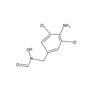 Nc1c(Cl)cc(CN(O)C=O)cc1Cl